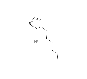 CCCCCCc1ccsc1.[H+]